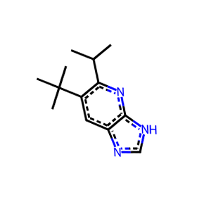 CC(C)c1nc2[nH]cnc2cc1C(C)(C)C